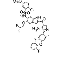 COc1ccc(Cl)c(S(=O)(=O)Nc2cc3[nH]c(C(=O)c4cnn(-c5cnc(Oc6c(F)cccc6F)cc5C)c4N)cc3cc2OCC(F)F)c1